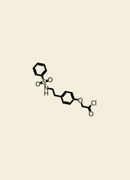 O=C(Cl)COc1ccc(CCNS(=O)(=O)c2ccccc2)cc1